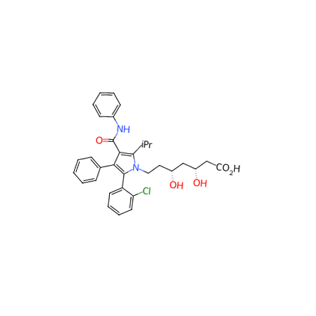 CC(C)c1c(C(=O)Nc2ccccc2)c(-c2ccccc2)c(-c2ccccc2Cl)n1CC[C@@H](O)C[C@@H](O)CC(=O)O